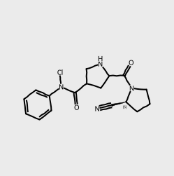 N#C[C@@H]1CCCN1C(=O)C1CC(C(=O)N(Cl)c2ccccc2)CN1